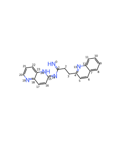 N=C(CCc1ccc2ccccc2n1)/N=c1/ccc2ncccc2[nH]1